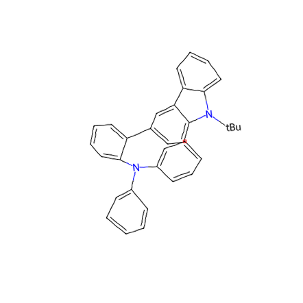 CC(C)(C)n1c2ccccc2c2cc(-c3ccccc3N(c3ccccc3)c3ccccc3)ccc21